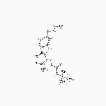 CC(C)(C)OC(=O)CCC(C(N)=O)N1Cc2cc(OCCBr)ccc2C1=O